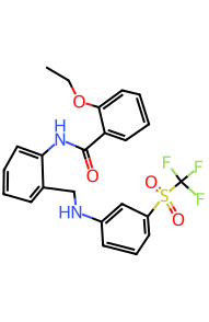 CCOc1ccccc1C(=O)Nc1ccccc1CNc1cccc(S(=O)(=O)C(F)(F)F)c1